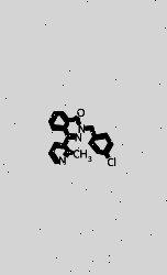 Cc1ncccc1-c1nn(Cc2ccc(Cl)cc2)c(=O)c2ccccc12